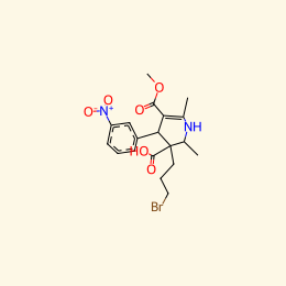 COC(=O)C1=C(C)NC(C)C(CCCBr)(C(=O)O)C1c1cccc([N+](=O)[O-])c1